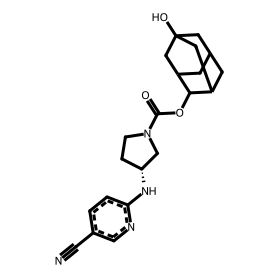 N#Cc1ccc(N[C@@H]2CCN(C(=O)OC3C4CC5CC3CC(O)(C5)C4)C2)nc1